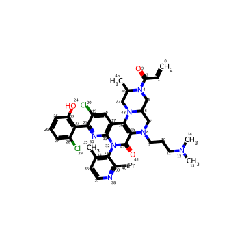 C=CC(=O)N1CC2CN(CCCN(C)C)c3c(c4cc(Cl)c(-c5c(O)cccc5Cl)nc4n(-c4c(C)ccnc4C(C)C)c3=O)N2CC1C